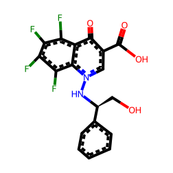 O=C(O)c1cn(N[C@@H](CO)c2ccccc2)c2c(F)c(F)c(F)c(F)c2c1=O